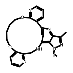 Cc1nn(C(C)C)c2c3cc(nc12)-c1cccnc1OCCCCOc1cccnc1CN3